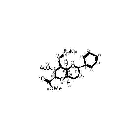 COC(=O)[C@@H]1O[C@@H]2CO[C@H](c3ccccc3)O[C@@H]2C(N=[N+]=[N-])[C@H]1OC(C)=O